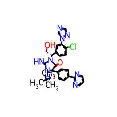 CC(C)(C)C[C@]1(c2ccc(-c3ncccn3)cc2)NC(=N)N([C@H](CO)c2ccc(Cl)c(-n3cncn3)c2)C1=O